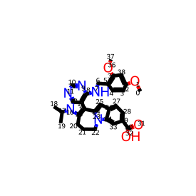 COc1ccc(CNc2ncnc3c2c2c(n3C(C)C)CCCn3c-2cc2ccc(C(=O)O)cc23)c(OC)c1